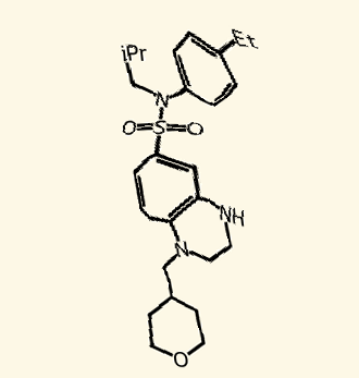 CCc1ccc(N(CC(C)C)S(=O)(=O)c2ccc3c(c2)NCCN3CC2CCOCC2)cc1